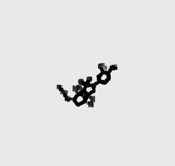 N#Cc1ccc(N2C[C@@H]3[C@@H]([C@H]4O[C@@H]3C[C@@H]4N=[N+]=[N-])S2(=O)=O)cc1C(F)(F)F